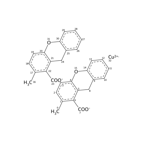 Cc1ccc2c(c1C(=O)[O-])Cc1ccccc1O2.Cc1ccc2c(c1C(=O)[O-])Cc1ccccc1O2.[Cu+2]